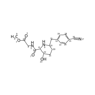 COC(=O)CNC(=O)C1NC(Cc2ccc(C#N)cc2)CCC1O